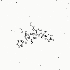 CCCOc1ccc(S(=O)(=O)N2CCN(C)CC2)cc1-c1nc2c(c(Cc3ncccn3)nn2CCC)c(=O)[nH]1